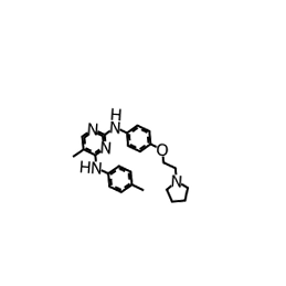 Cc1ccc(Nc2nc(Nc3ccc(OCCN4CCCC4)cc3)ncc2C)cc1